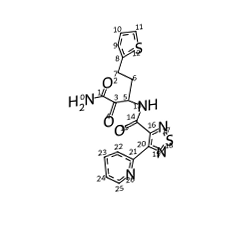 NC(=O)C(=O)C(CCc1cccs1)NC(=O)c1nsnc1-c1ccccn1